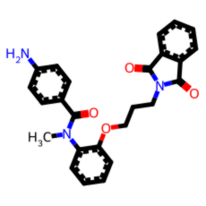 CN(C(=O)c1ccc(N)cc1)c1ccccc1OCCCN1C(=O)c2ccccc2C1=O